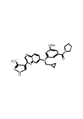 COc1cc(C(=O)N2CCCC2)cc(N(CC2CC2)c2ccc3ncc(-c4c[nH]nc4C)nc3c2)c1